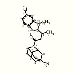 CC(CC(=O)N1C2CC3CC1CC(C#N)(C3)C2)C1Sc2ccc(Cl)cc2N1C